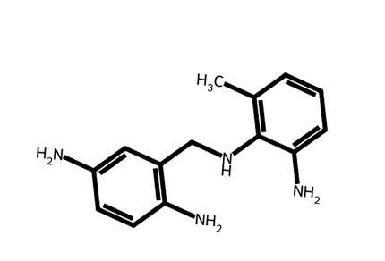 Cc1cccc(N)c1NCc1cc(N)ccc1N